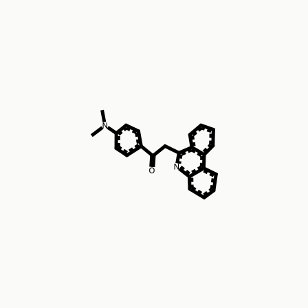 CN(C)c1ccc(C(=O)Cc2nc3ccccc3c3ccccc23)cc1